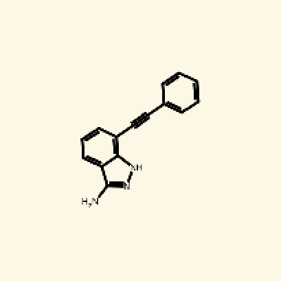 Nc1n[nH]c2c(C#Cc3ccccc3)cccc12